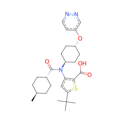 CC(C)(C)c1cc(N(C(=O)[C@H]2CC[C@H](C)CC2)[C@H]2CC[C@H](Oc3ccnnc3)CC2)c(C(=O)O)s1